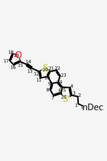 CCCCCCCCCCCCc1cc2c(ccc3c4cc(C#Cc5ccco5)sc4ccc23)s1